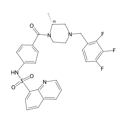 C[C@@H]1CN(Cc2ccc(F)c(F)c2F)CCN1C(=O)c1ccc(NS(=O)(=O)c2cccc3cccnc23)cc1